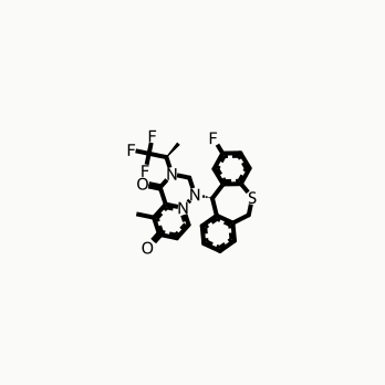 Cc1c2n(ccc1=O)N([C@H]1c3ccccc3CSc3ccc(F)cc31)CN([C@H](C)C(F)(F)F)C2=O